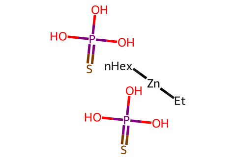 CCCCC[CH2][Zn][CH2]C.OP(O)(O)=S.OP(O)(O)=S